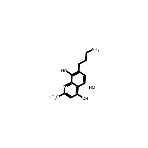 Cl.NCCCc1ccc2c(O)cc(C(=O)O)nc2c1O